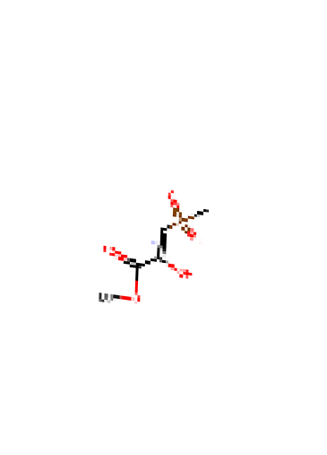 CCOC(=O)/C(O)=C/S(C)(=O)=O